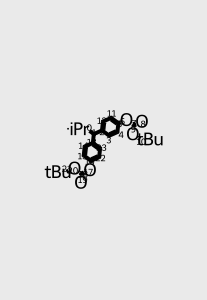 C[C](C)C(c1ccc(OC(=O)OC(C)(C)C)cc1)c1ccc(OC(=O)OC(C)(C)C)cc1